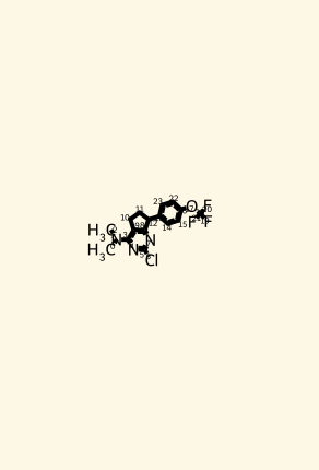 CN(C)c1nc(Cl)nc2c1CCC2c1ccc(OC(F)(F)F)cc1